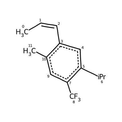 C/C=C\c1cc(C(C)C)c(C(F)(F)F)cc1C